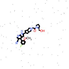 COc1ccc(F)cc1-c1c(C#N)cnc2[nH]c(C3=CC4CN(CC(=O)N5CCC[C@H]5CO)CC4C3)cc12